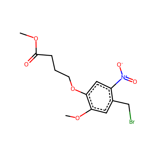 COC(=O)CCCOc1cc([N+](=O)[O-])c(CBr)cc1OC